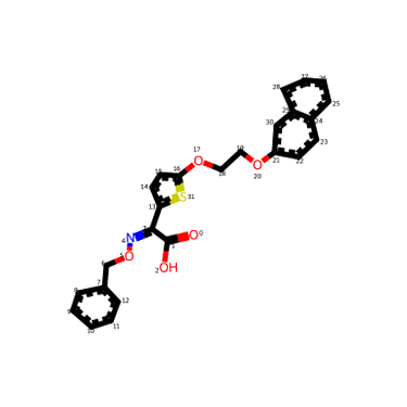 O=C(O)/C(=N\OCc1ccccc1)c1ccc(OCCOc2ccc3ccccc3c2)s1